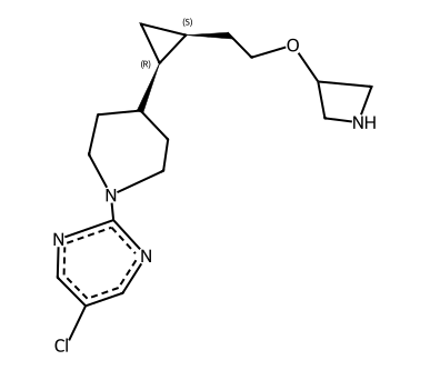 Clc1cnc(N2CCC([C@H]3C[C@H]3CCOC3CNC3)CC2)nc1